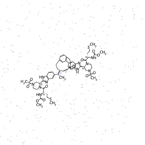 COC(=O)N[C@@H](CCSC)C(=O)N1CCN(S(C)(=O)=O)C[C@H]1c1nc2cc(/C(C)=C3/C=C\[C@H](C)CCc4ccc(cc4-c4ccc5[nH]c([C@@H]6CN(S(C)(=O)=O)CCN6C(=O)[C@H](CCSC)NC(=O)OC)nc5c4)CC3)ccc2[nH]1